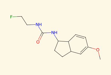 COC1=CC2CCC(NC(=O)NCCF)C2C=C1